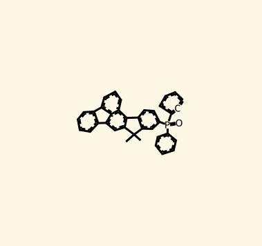 CC1(C)c2cc(P(=O)(c3ccccc3)c3ccccc3)ccc2-c2c1cc1c3c(cccc23)-c2ccccc2-1